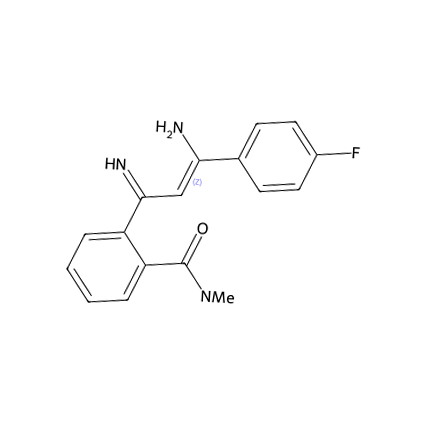 CNC(=O)c1ccccc1C(=N)/C=C(\N)c1ccc(F)cc1